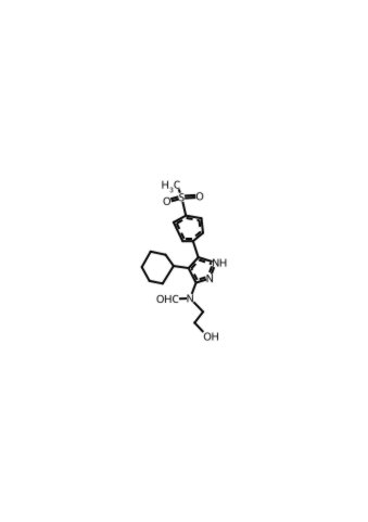 CS(=O)(=O)c1ccc(-c2[nH]nc(N(C=O)CCO)c2C2CCCCC2)cc1